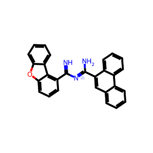 N=C(/N=C(\N)c1cc2ccccc2c2ccccc12)c1cccc2oc3ccccc3c12